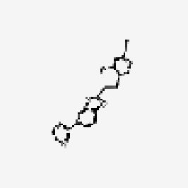 Fc1ccc(C=Cc2nc3cc(-c4cccnc4)ccc3o2)c(F)c1